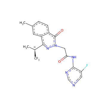 Cc1ccc2c(=O)n(CC(=O)Nc3ncncc3F)nc([C@H](C)C(F)(F)F)c2c1